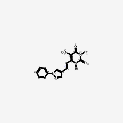 CCn1c(/C=C/c2cnn(-c3ccccc3)c2)c([N+](=O)[O-])c(=O)n(CC)c1=O